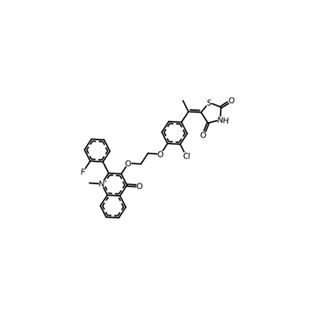 C/C(=C1\SC(=O)NC1=O)c1ccc(OCCOc2c(-c3ccccc3F)n(C)c3ccccc3c2=O)c(Cl)c1